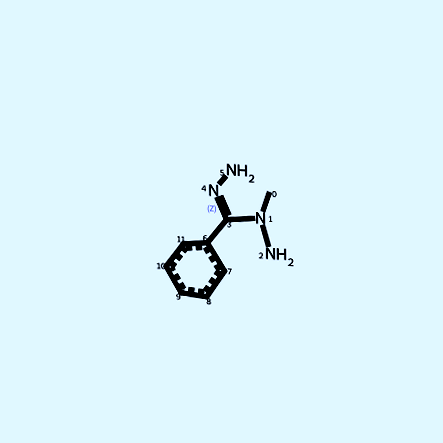 CN(N)/C(=N\N)c1ccccc1